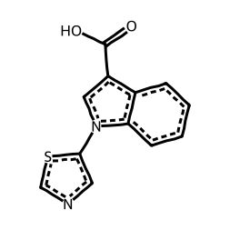 O=C(O)c1cn(-c2cncs2)c2ccccc12